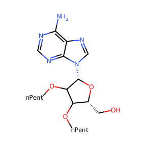 CCCCCOC1C(OCCCCC)[C@@H](CO)O[C@H]1n1cnc2c(N)ncnc21